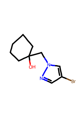 OC1(Cn2cc(Br)cn2)CCCCC1